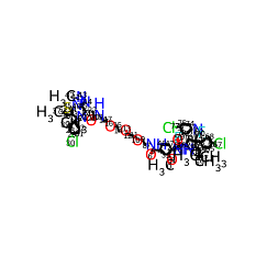 COc1cc(C(=O)NCCOCCOCCOCCNC(=O)C[C@@H]2N=C(c3ccc(Cl)cc3)c3c(sc(C)c3C)-n3c(C)nnc32)ccc1NC(=O)C1NC(CC(C)(C)C)C(C#N)(c2ccc(Cl)cc2F)[C@H]1c1cccc(Cl)c1F